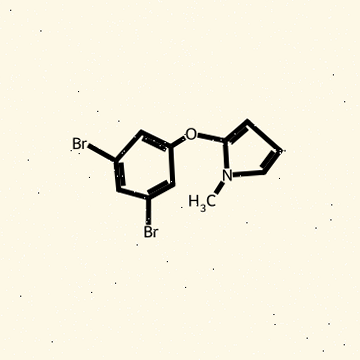 Cn1c[c]cc1Oc1cc(Br)cc(Br)c1